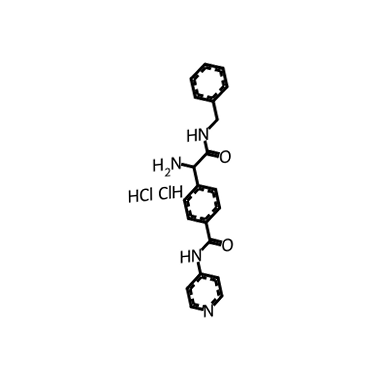 Cl.Cl.NC(C(=O)NCc1ccccc1)c1ccc(C(=O)Nc2ccncc2)cc1